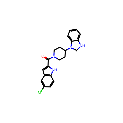 O=C(c1cc2cc(Cl)ccc2[nH]1)N1CCC(N2[CH]Nc3ccccc32)CC1